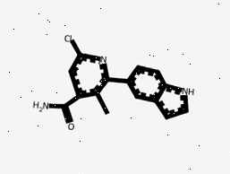 Cc1c(C(N)=O)cc(Cl)nc1-c1ccc2[nH]ccc2c1